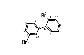 Brc1cccc(-c2ccccc2Br)c1